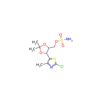 Cc1nc(Cl)sc1C1OC(C)(C)OC1COS(N)(=O)=O